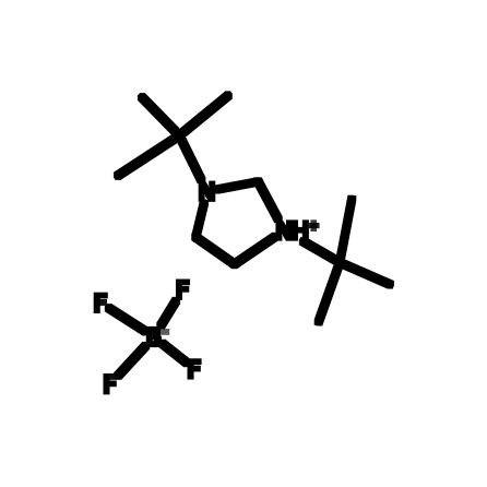 CC(C)(C)N1CC[NH+](C(C)(C)C)C1.F[B-](F)(F)F